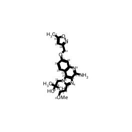 COCCc1nc2c(N)nc3cc(OCc4cc(C)on4)ccc3c2n1CC(C)(C)O